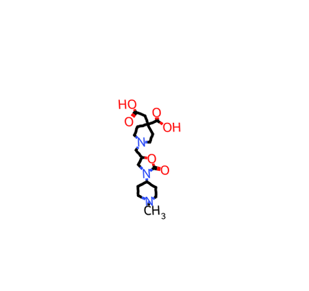 CN1CCC(N2CC(CN3CCC(CC(=O)O)(C(=O)O)CC3)OC2=O)CC1